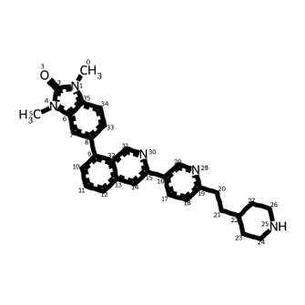 Cn1c(=O)n(C)c2cc(-c3cccc4cc(-c5ccc(CCC6CCNCC6)nc5)ncc34)ccc21